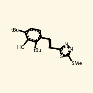 CSc1nnc(C=Cc2ccc(C(C)(C)C)c(O)c2C(C)(C)C)s1